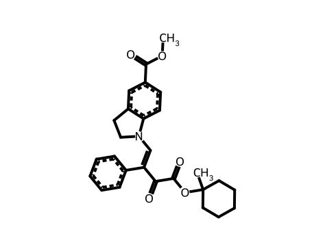 COC(=O)c1ccc2c(c1)CCN2/C=C(/C(=O)C(=O)OC1(C)CCCCC1)c1ccccc1